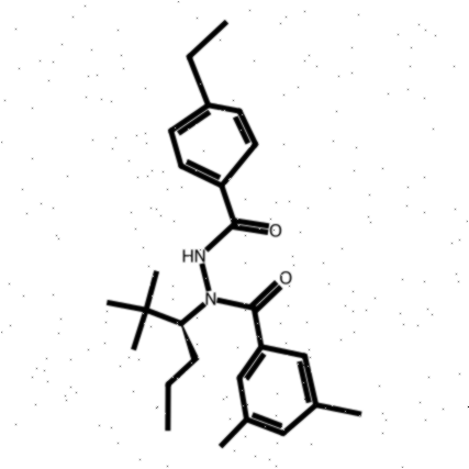 CCC[C@H](N(NC(=O)c1ccc(CC)cc1)C(=O)c1cc(C)cc(C)c1)C(C)(C)C